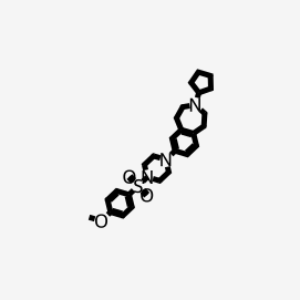 COc1ccc(S(=O)(=O)N2CCN(c3ccc4c(c3)CCN(C3CCCC3)CC4)CC2)cc1